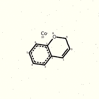 C1=Cc2ccccc2OC1.[Co]